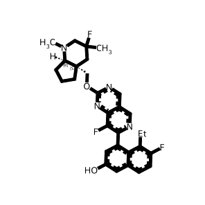 CCc1c(F)ccc2cc(O)cc(-c3ncc4cnc(OC[C@]56CCC[C@H]5N(C)CC(C)(F)C6)nc4c3F)c12